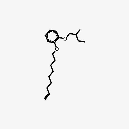 C=CCCCCCCCOc1c[c]ccc1OCC(C)CC